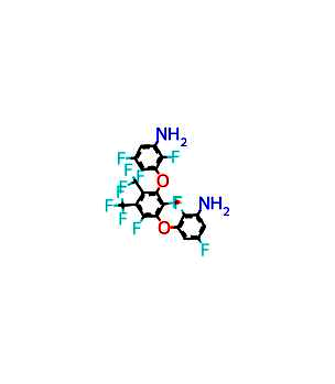 Nc1cc(F)cc(Oc2c(F)c(Oc3cc(F)cc(N)c3F)c(C(F)(F)F)c(C(F)(F)F)c2F)c1F